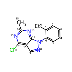 CCc1ccccc1-n1ncc2c(Cl)nc(C)nc21